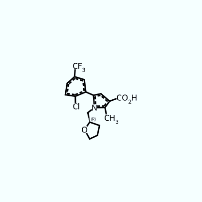 Cc1c(C(=O)O)cc(-c2cc(C(F)(F)F)ccc2Cl)n1C[C@H]1CCCO1